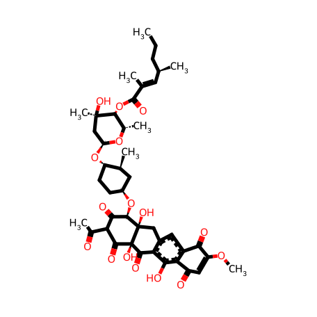 CCC[C@@H](C)/C=C(\C)C(=O)O[C@@H]1[C@H](C)O[C@@H](O[C@H]2CC[C@H](O[C@@H]3C(=O)C(C(C)=O)C(=O)[C@@]4(O)C(=O)c5c(cc6c(c5O)C(=O)C=C(OC)C6=O)C[C@@]34O)C[C@@H]2C)C[C@@]1(C)O